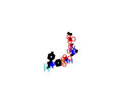 CCN(CCOC(=O)NS(=O)(=O)c1ccc(-n2nc(C(F)(F)F)cc2-c2ccc(C)cc2)cc1)/[N+]([O-])=N/OCOC(=O)OC(C)C